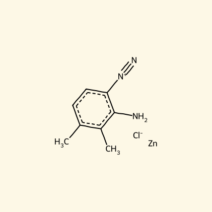 Cc1ccc([N+]#N)c(N)c1C.[Cl-].[Zn]